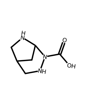 O=C(O)N1NCC2CNC1C2